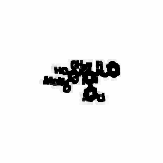 CNC(=O)[C@@H]1OC(n2cnc3c(NCc4ccccc4)nc(-c4cncc(Cl)c4)nc32)C(O)C1O